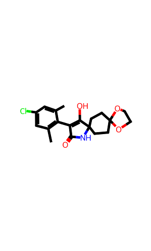 Cc1cc(Cl)cc(C)c1C1=C(O)C2(CCC3(CC2)OCCO3)NC1=O